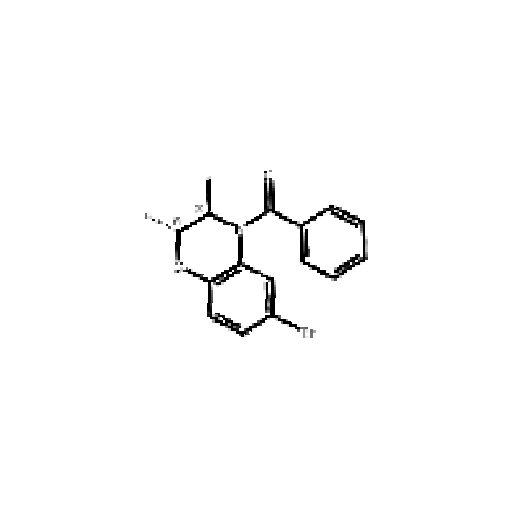 C[C@@H]1[C@@H](C)Oc2ccc(Br)cc2N1C(=O)c1ccccc1